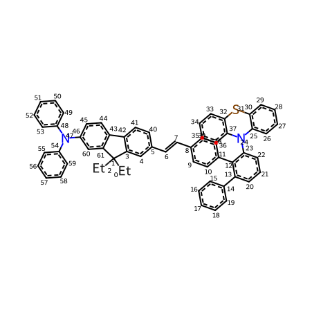 CCC1(CC)c2cc(/C=C/c3ccc(-c4c(-c5ccccc5)cccc4N4c5ccccc5Sc5ccccc54)cc3)ccc2-c2ccc(N(c3ccccc3)c3ccccc3)cc21